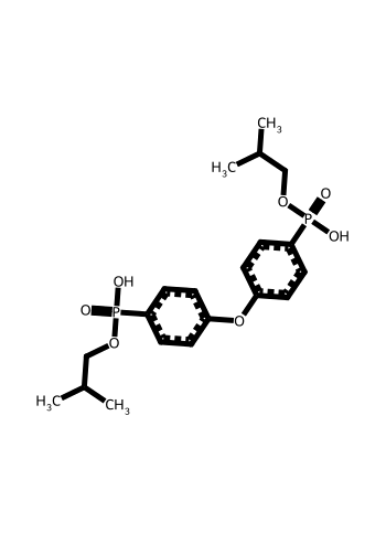 CC(C)COP(=O)(O)c1ccc(Oc2ccc(P(=O)(O)OCC(C)C)cc2)cc1